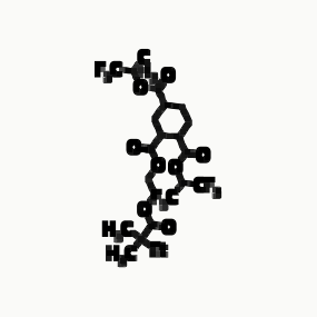 CCC(C)(C)C(=O)OCCOC(=O)C1CC(C(=O)OC(C)C(F)(F)F)CCC1C(=O)OC(C(F)(F)F)C(F)(F)F